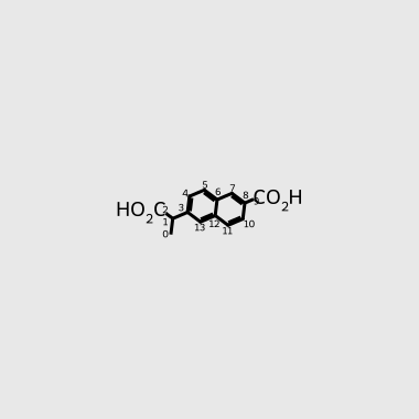 CC(C(=O)O)c1ccc2cc(C(=O)O)ccc2c1